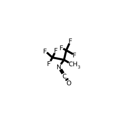 CC(N=C=O)(C(F)(F)F)C(F)(F)F